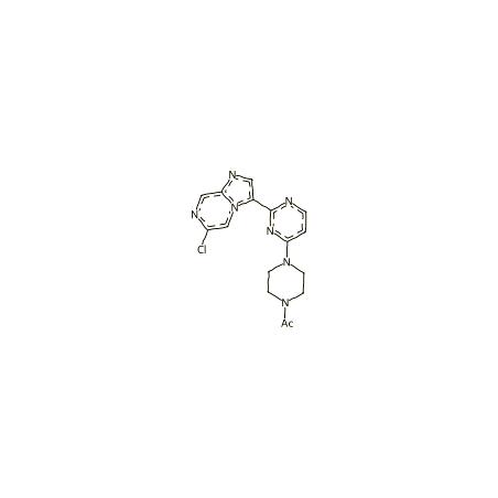 CC(=O)N1CCN(c2ccnc(-c3cnc4cnc(Cl)cn34)n2)CC1